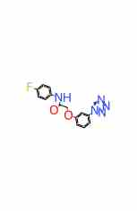 O=C(COc1cccc(-n2cnnn2)c1)Nc1ccc(F)cc1